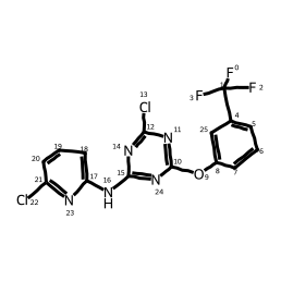 FC(F)(F)c1cccc(Oc2nc(Cl)nc(Nc3cccc(Cl)n3)n2)c1